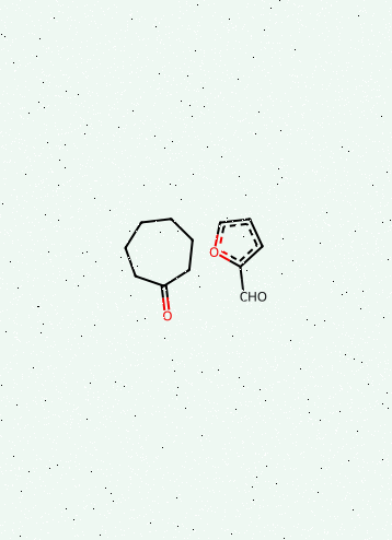 O=C1CCCCCC1.O=Cc1ccco1